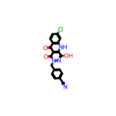 N#Cc1ccc(Cn2nc(O)c3[nH]c4cc(Cl)ccc4c(=O)c3c2=O)cc1